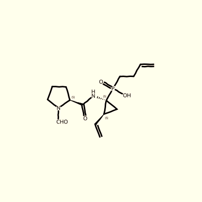 C=CCCP(=O)(O)[C@@]1(NC(=O)[C@@H]2CCCN2C=O)C[C@H]1C=C